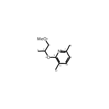 COCC(C)Oc1nc(C)ccc1C